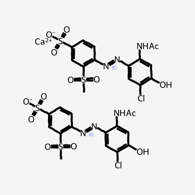 CC(=O)Nc1cc(O)c(Cl)cc1/N=N/c1ccc(S(=O)(=O)[O-])cc1S(C)(=O)=O.CC(=O)Nc1cc(O)c(Cl)cc1/N=N/c1ccc(S(=O)(=O)[O-])cc1S(C)(=O)=O.[Ca+2]